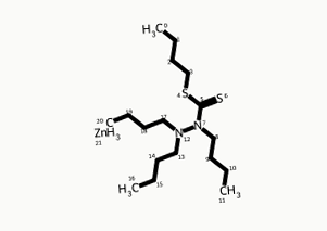 CCCCSC(=S)N(CCCC)N(CCCC)CCCC.[Zn]